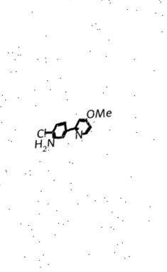 COc1ccnc(-c2ccc(Cl)c(N)c2)c1